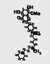 COc1c(O)cc(O)c2c(=O)cc(-c3ccc(CCCCCN(C)CCCN4CCCCC4)cc3)oc12.Cl.Cl